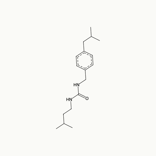 CC(C)CCNC(=O)NCc1ccc(CC(C)C)cc1